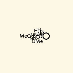 COc1nc(NC(=O)NS(=O)(=O)C2CCCCCCCCC2Cl)nc(OC)n1